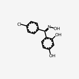 ON=C(c1ccc(Cl)cc1)c1ccc(O)cc1O